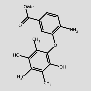 COC(=O)c1ccc(N)c(Oc2c(C)c(O)c(C)c(C)c2O)c1